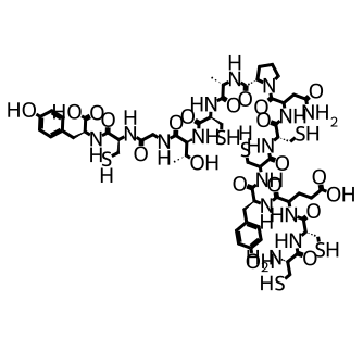 C[C@H](NC(=O)[C@@H]1CCCN1C(=O)C(CC(N)=O)NC(=O)[C@H](CS)NC(=O)C(CS)NC(=O)[C@H](Cc1ccc(O)cc1)NC(=O)C(CCC(=O)O)NC(=O)[C@H](CS)NC(=O)[C@@H](N)CS)C(=O)N[C@@H](CS)C(=O)N[C@H](C(=O)NCC(=O)N[C@@H](CS)C(=O)N[C@@H](Cc1ccc(O)cc1)C(=O)O)[C@@H](C)O